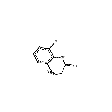 O=C1CNc2cccc(F)c2N1